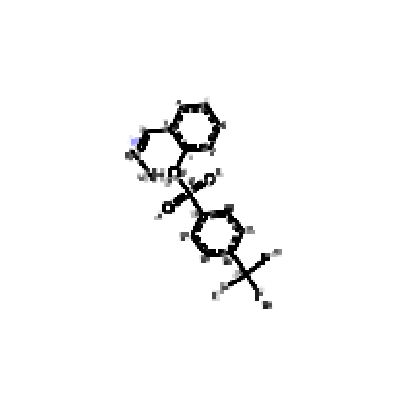 N/N=C\c1ccccc1OS(=O)(=O)c1ccc(C(F)(F)F)cc1